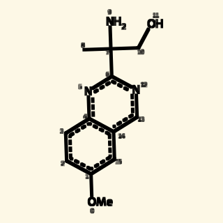 COc1ccc2nc(C(C)(N)CO)ncc2c1